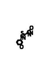 COc1cccc(-c2csc(C3=CC(=O)N=N3)n2)c1